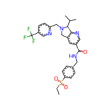 CCS(=O)(=O)c1ccc(CNC(=O)c2cnc3c(c2)CN(Cc2ccc(C(F)(F)F)cn2)C3C(C)C)cc1